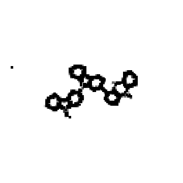 CN1c2ccccc2Oc2c(-c3ccc4c5ccccc5n(-c5ccc6c(c5)c5ccccc5n6C)c4c3)cccc21